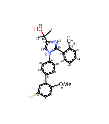 COc1ccc(F)cc1-c1ccc(-n2cc(C(C)(C)O)nc2-c2ccccc2C(F)(F)F)cc1